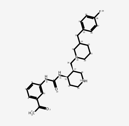 CC(=O)c1cccc(NC(=O)N[C@@H]2CCNC[C@@H]2CN2CCCC(Cc3ccc(F)cc3)C2)c1